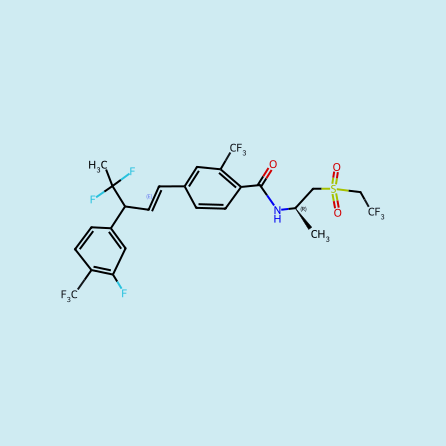 C[C@H](CS(=O)(=O)CC(F)(F)F)NC(=O)c1ccc(/C=C/C(c2ccc(C(F)(F)F)c(F)c2)C(C)(F)F)cc1C(F)(F)F